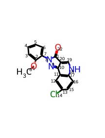 COc1ccccc1-n1nc2c3cc(Cl)ccc3[nH]cc-2c1=O